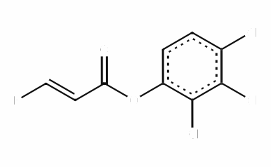 O=C(C=CF)Oc1ccc(Cl)c(Cl)c1Cl